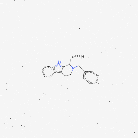 O=C(O)CC1c2[nH]c3ccccc3c2CCN1Cc1ccccc1